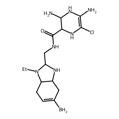 BC1=CCC2C(C1)NC(CNC(=O)C1NC(Cl)=C(N)NC1N)N2CC